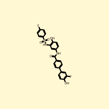 O=C(Nc1ccc(O)c(NS(=O)(=O)c2ccc(F)cc2)c1)c1ccc(-c2ccc(O)c(F)c2)cc1